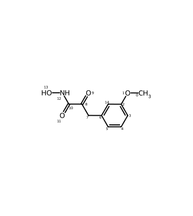 COc1cccc(CC(=O)C(=O)NO)c1